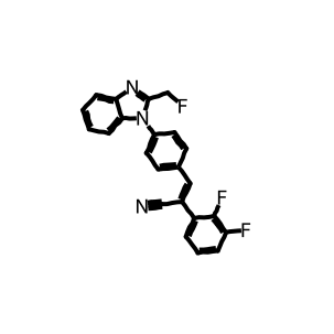 N#C/C(=C\c1ccc(-n2c(CF)nc3ccccc32)cc1)c1cccc(F)c1F